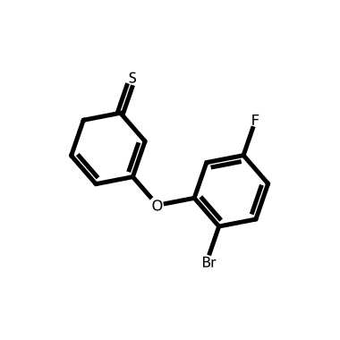 Fc1ccc(Br)c(OC2=CC(=S)CC=C2)c1